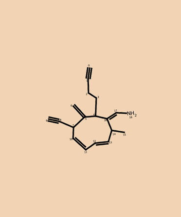 C#CCCC1C(=C)C(C#C)/C=C\C=C\C(C)/C1=C\N